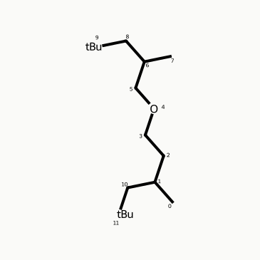 CC(CCOCC(C)CC(C)(C)C)CC(C)(C)C